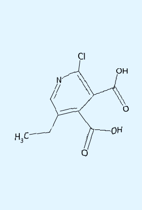 CCc1cnc(Cl)c(C(=O)O)c1C(=O)O